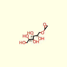 OC[C@@H](O)[C@@H](O)[C@H](O)[C@@H](O)COC1CO1